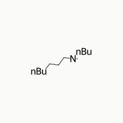 CCCCCCC[N]CCCC